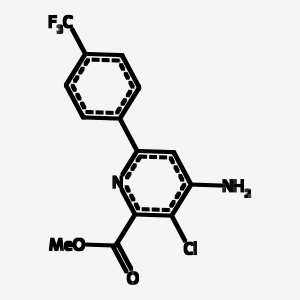 COC(=O)c1nc(-c2ccc(C(F)(F)F)cc2)cc(N)c1Cl